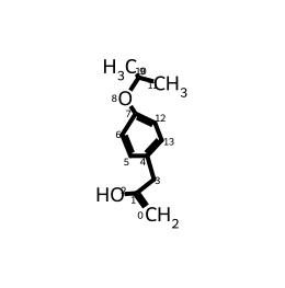 C=C(O)Cc1ccc(OC(C)C)cc1